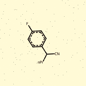 CCCC(C#N)c1ccc(F)cc1